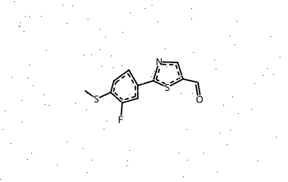 CSc1ccc(-c2ncc(C=O)s2)cc1F